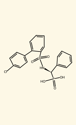 O=P(O)(O)[C@@H](NS(=O)(=O)c1ccccc1-c1ccc(Cl)cc1)c1ccccc1